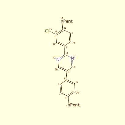 CCCCCc1ccc(-c2cnc(-c3ccc(CCCCC)c(Cl)c3)nc2)cc1